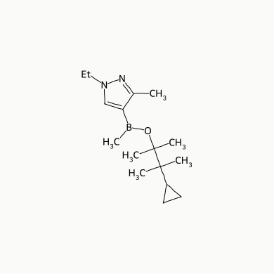 CCn1cc(B(C)OC(C)(C)C(C)(C)C2CC2)c(C)n1